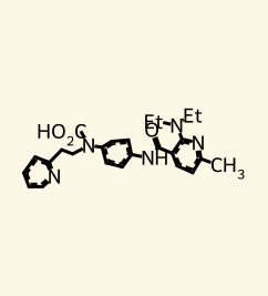 CCN(CC)c1nc(C)ccc1C(=O)Nc1ccc(N(CCc2ccccn2)C(=O)O)cc1